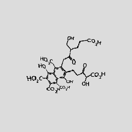 O=C(O)CCC(CO)C(=O)Cc1c(CCC(=O)C(O)C(=O)O)c(O)c2c(C(=O)O)c(C(=O)O)c(C(=O)O)c(O)c2c1C(=O)O